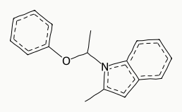 Cc1cc2ccccc2n1C(C)Oc1ccccc1